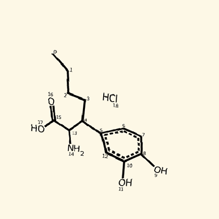 CCCCC(c1ccc(O)c(O)c1)C(N)C(=O)O.Cl